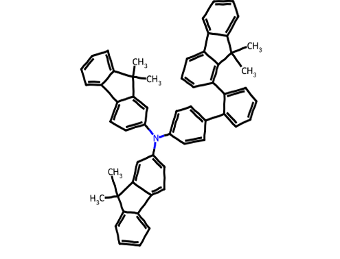 CC1(C)c2ccccc2-c2ccc(N(c3ccc(-c4ccccc4-c4cccc5c4C(C)(C)c4ccccc4-5)cc3)c3ccc4c(c3)C(C)(C)c3ccccc3-4)cc21